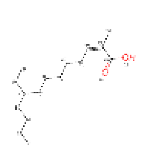 CCCCC(CC)CCCCCC=C(C)C(=O)O